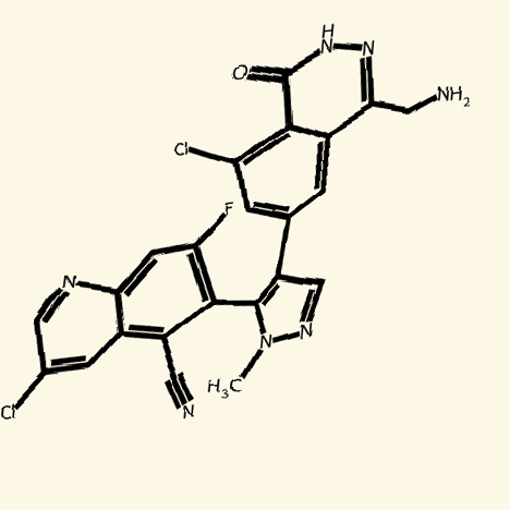 Cn1ncc(-c2cc(Cl)c3c(=O)[nH]nc(CN)c3c2)c1-c1c(F)cc2ncc(Cl)cc2c1C#N